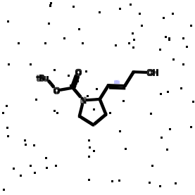 CC(C)(C)OC(=O)N1CCCC1/C=C/CO